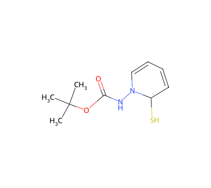 CC(C)(C)OC(=O)NN1C=CC=CC1S